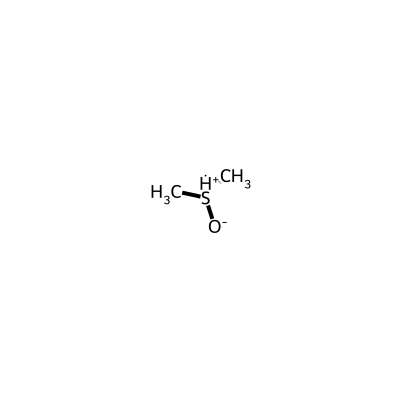 C[SH+](C)[O-]